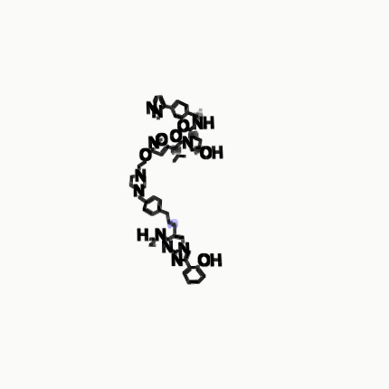 CC(C)[C@@H](C(=O)N1C[C@H](O)C[C@H]1C(=O)N[C@@H](C)c1ccc(-c2ccnn2C)cc1)c1cc(OCCN2CCN(Cc3ccc(C/C=C/c4cn5cc(-c6ccccc6O)nc5nc4N)cc3)CC2)no1